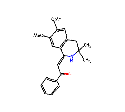 COc1cc2c(cc1OC)C(=CC(=O)c1ccccc1)NC(C)(C)C2